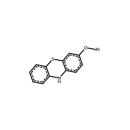 CC(C)Oc1ccc2c(c1)Sc1ccccc1N2